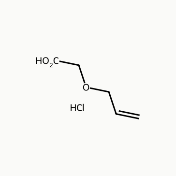 C=CCOCC(=O)O.Cl